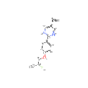 CCCCCCCCCc1cnc(-c2ccc(OCC(F)C(C)CC)cc2)nc1